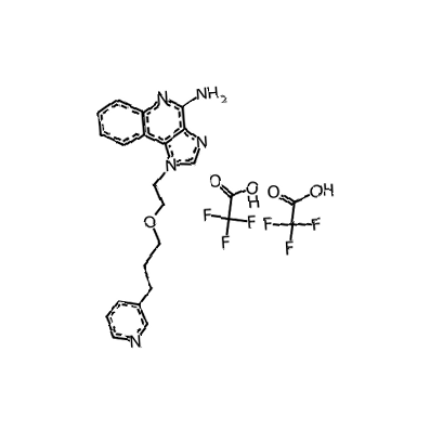 Nc1nc2ccccc2c2c1ncn2CCOCCCc1cccnc1.O=C(O)C(F)(F)F.O=C(O)C(F)(F)F